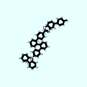 Cc1ccc(-c2ccc3oc(-c4ccc(-c5ccccc5-c5ccccc5-c5ccc(-n6c7ccccc7c7ccccc76)cc5)cc4)nc3c2)cc1